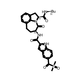 CC[C@H](C)NC(=O)[C@@H]1Cc2cccc3c2N1C(=O)[C@@H](NC(=O)c1cc2cc(C(=O)P(C)(C)=O)ccc2[nH]1)CC3